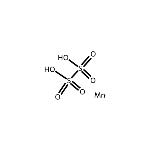 O=S(=O)(O)S(=O)(=O)O.[Mn]